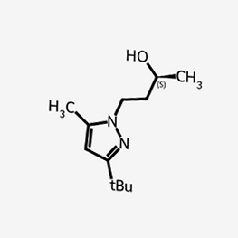 Cc1cc(C(C)(C)C)nn1CC[C@H](C)O